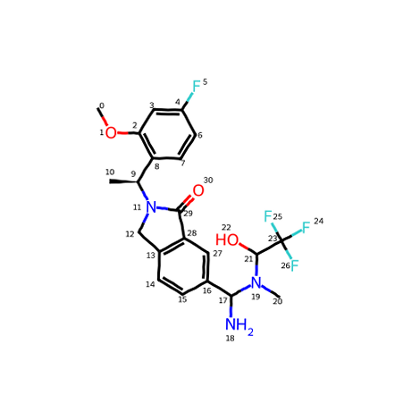 COc1cc(F)ccc1[C@H](C)N1Cc2ccc(C(N)N(C)C(O)C(F)(F)F)cc2C1=O